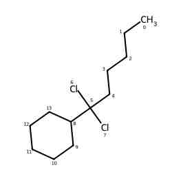 CCCCCC(Cl)(Cl)C1CCCCC1